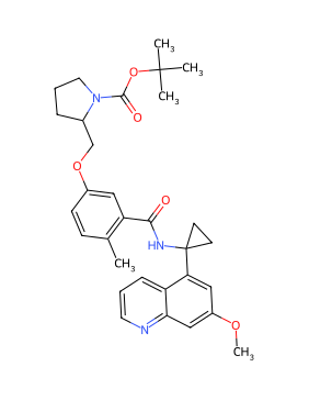 COc1cc(C2(NC(=O)c3cc(OCC4CCCN4C(=O)OC(C)(C)C)ccc3C)CC2)c2cccnc2c1